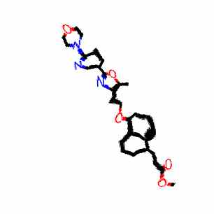 COC(=O)CCC1=CCCc2c(OCCc3nc(-c4ccc(N5CCOCC5)nc4)oc3C)cccc21